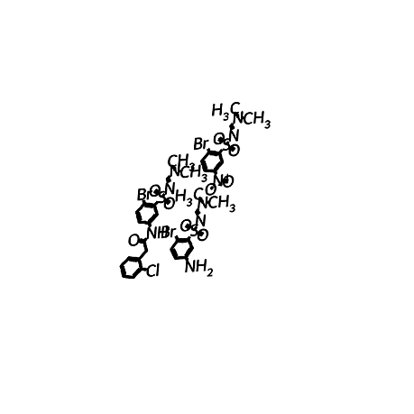 CN(C)/C=N/S(=O)(=O)c1cc(N)ccc1Br.CN(C)/C=N/S(=O)(=O)c1cc(NC(=O)Cc2ccccc2Cl)ccc1Br.CN(C)/C=N/S(=O)(=O)c1cc([N+](=O)[O-])ccc1Br